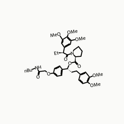 CCCCNC(=O)COc1ccc([C@@H](CCc2ccc(OC)c(OC)c2)OC(=O)[C@@H]2CCCCN2C(=O)[C@@H](CC)c2cc(OC)c(OC)c(OC)c2)cc1